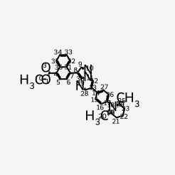 COC(=O)c1ccc(-c2cnn3cc(-c4ccc(N5[C@H](C)CCC[C@@H]5C)cc4)cnc23)c2ccccc12